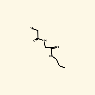 [3H]CC(=O)NCC(=O)NCCC